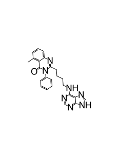 Cc1cccc2nc(CCCCNc3ncnc4[nH]cnc34)n(-c3ccccc3)c(=O)c12